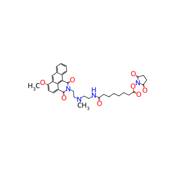 COc1ccc2c3c(c4ccccc4cc13)C(=O)N(CCN(C)CCNC(=O)CCCCCCC(=O)ON1C(=O)CCC1=O)C2=O